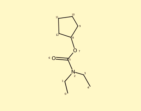 CCN(CC)C(=O)OC1CCCC1